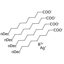 CCCCCCCCCCCCCCCCCC(=O)[O-].CCCCCCCCCCCCCCCCCC(=O)[O-].CCCCCCCCCCCCCCCCCC(=O)[O-].CCCCCCCCCCCCCCCCCC(=O)[O-].[Ag+].[B+3]